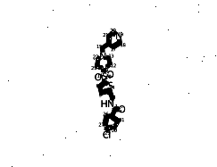 O=C(NCc1ccc(S(=O)(=O)N2CCN(Cc3ccncc3)CC2)s1)c1ccc(Cl)cc1